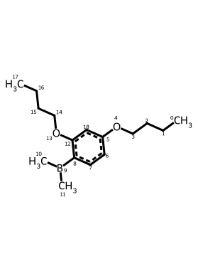 CCCCOc1ccc(B(C)C)c(OCCCC)c1